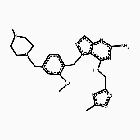 COc1cc(CN2CCN(C)CC2)ccc1Cn1ncc2nc(N)nc(NCc3noc(C)n3)c21